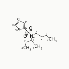 CCCCN(C(C)CC)S(=O)(=O)c1cccs1